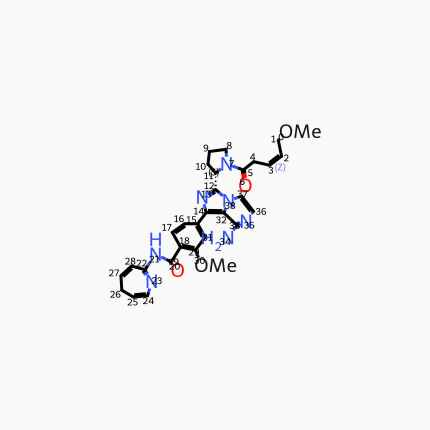 COC/C=C\CC(=O)N1CCC[C@H]1c1nc(-c2ccc(C(=O)NC3=NC=CCC=C3)c(OC)c2)c2c(N)nccn12